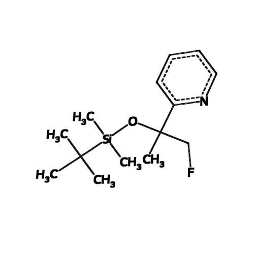 CC(CF)(O[Si](C)(C)C(C)(C)C)c1ccccn1